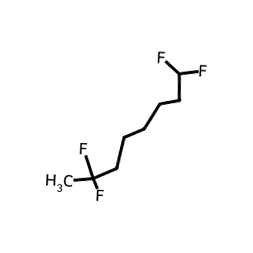 CC(F)(F)CCCCCC(F)F